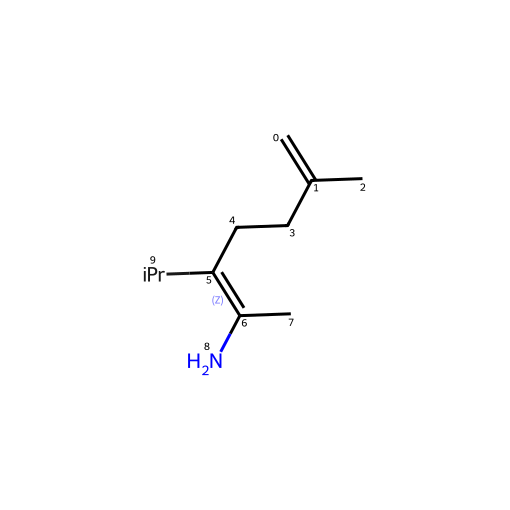 C=C(C)CC/C(=C(\C)N)C(C)C